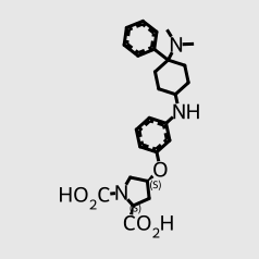 CN(C)C1(c2ccccc2)CCC(Nc2cccc(O[C@H]3C[C@@H](C(=O)O)N(C(=O)O)C3)c2)CC1